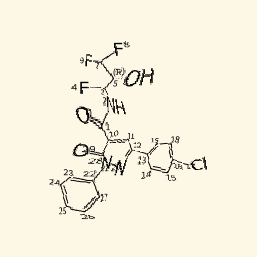 O=C(NC(F)[C@@H](O)C(F)F)c1cc(-c2ccc(Cl)cc2)nn(-c2ccccc2)c1=O